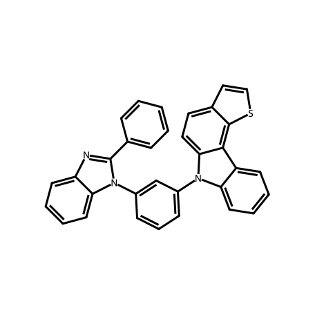 c1ccc(-c2nc3ccccc3n2-c2cccc(-n3c4ccccc4c4c5sccc5ccc43)c2)cc1